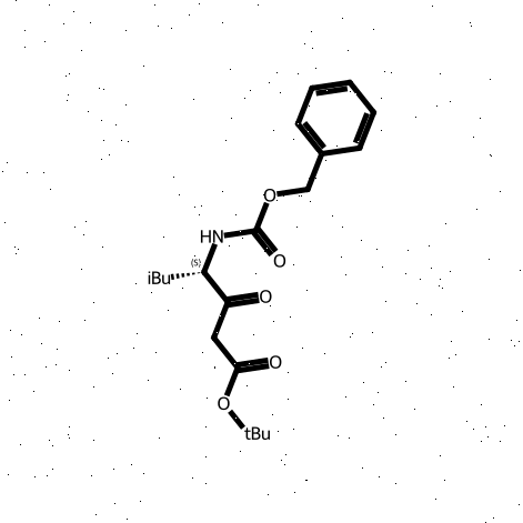 CCC(C)[C@H](NC(=O)OCc1ccccc1)C(=O)CC(=O)OC(C)(C)C